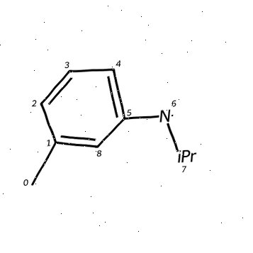 Cc1cccc([N]C(C)C)c1